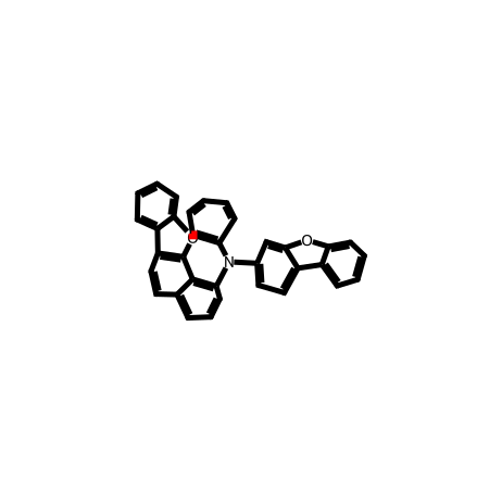 c1ccc(N(c2ccc3c(c2)oc2ccccc23)c2cccc3ccc4c5ccccc5oc4c23)cc1